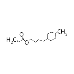 C=CC(=O)OCCCCC1CCC(C)CC1